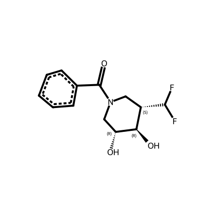 O=C(c1ccccc1)N1C[C@@H](O)[C@H](O)[C@@H](C(F)F)C1